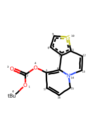 CC(C)(C)OC(=O)OC1=C2c3ccsc3C=CN2CC=C1